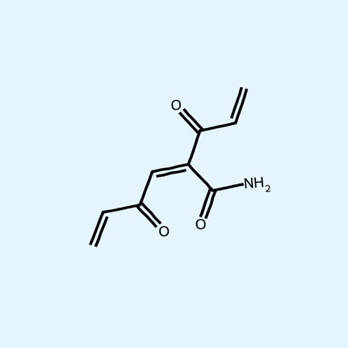 C=CC(=O)/C=C(\C(N)=O)C(=O)C=C